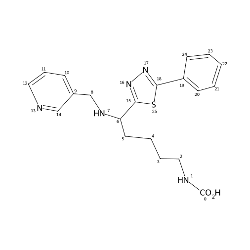 O=C(O)NCCCCC(NCc1cccnc1)c1nnc(-c2ccccc2)s1